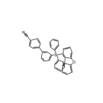 N#Cc1ccc(-c2cccc([Si](c3ccccc3)(c3ccccc3)c3cccc4oc5ccccc5c34)c2)cc1